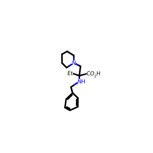 CCC(CN1CCCCC1)(NCc1ccccc1)C(=O)O